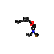 CCCCCCCC(CC)CCC(=O)Oc1cccc2c1CCC(N(CCC)CCc1cccs1)C2